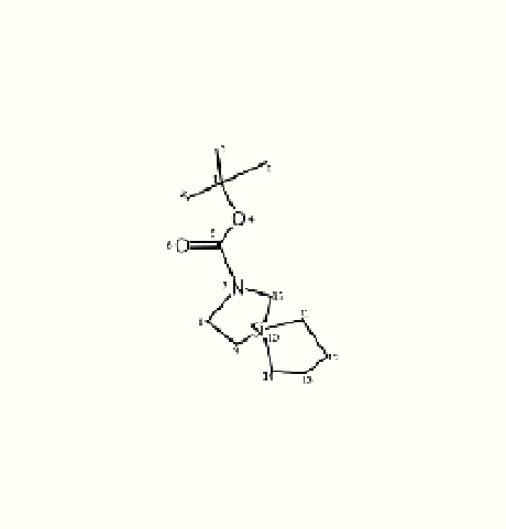 CC(C)(C)OC(=O)N1CC[Si]2(CCCC2)C1